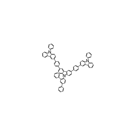 c1ccc(-c2ccc(-n3c4ccc(-c5ccc(-c6ccc7c(c6)c6ccccc6n7-c6ccccc6)cc5)cc4c4cc(-c5ccc(-c6ccc7c(c6)c6ccccc6n7-c6ccccc6)cc5)ccc43)c(-c3ccccc3)c2)cc1